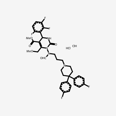 COCC1=C(C(=O)OC)C(c2c(F)ccc(F)c2F)NC(=O)N1N(C=O)CCCN1CCC(c2ccc(F)cc2)(c2ccc(F)cc2)CC1.Cl.Cl